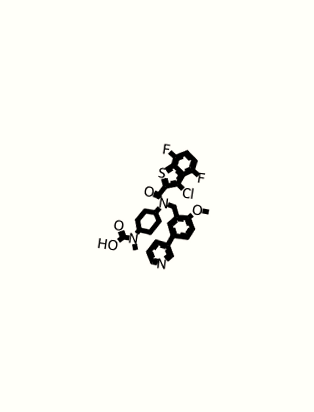 COc1ccc(-c2cccnc2)cc1CN(C(=O)c1sc2c(F)ccc(F)c2c1Cl)C1CCC(N(C)C(=O)O)CC1